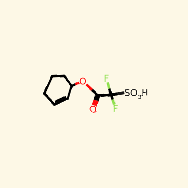 O=C(OC1C=CCCC1)C(F)(F)S(=O)(=O)O